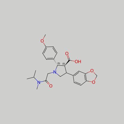 COc1ccc([C@@H]2[C@@H](C(=O)O)C(c3ccc4c(c3)OCO4)CN2CC(=O)N(C)C(C)C)cc1